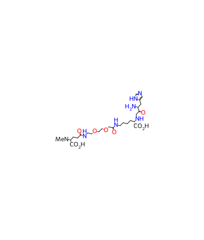 CN[C@@H](CCC(=O)NCCOCCOCC(=O)NCCCC[C@H](NCC(=O)[C@@H](N)Cc1cnc[nH]1)C(=O)O)C(=O)O